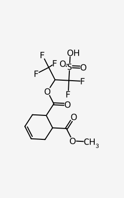 COC(=O)C1CC=CCC1C(=O)OC(C(F)(F)F)C(F)(F)S(=O)(=O)O